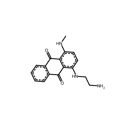 CNc1ccc(NCCN)c2c1C(=O)c1ccccc1C2=O